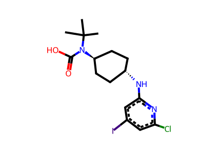 CC(C)(C)N(C(=O)O)[C@H]1CC[C@H](Nc2cc(I)cc(Cl)n2)CC1